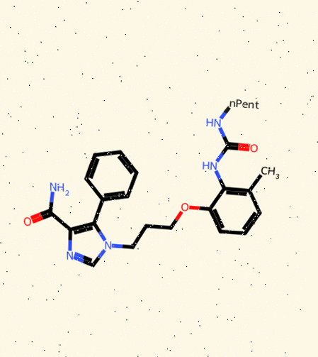 CCCCCNC(=O)Nc1c(C)cccc1OCCCn1cnc(C(N)=O)c1-c1ccccc1